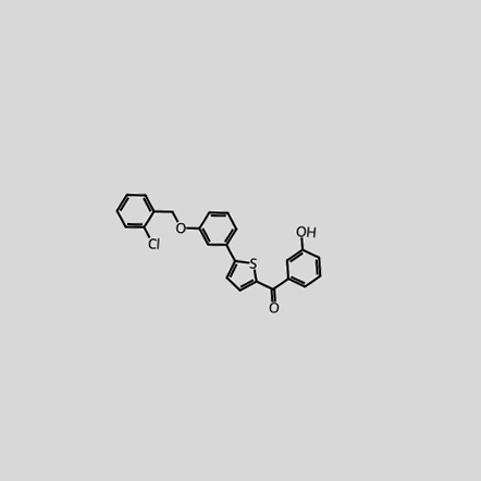 O=C(c1cccc(O)c1)c1ccc(-c2cccc(OCc3ccccc3Cl)c2)s1